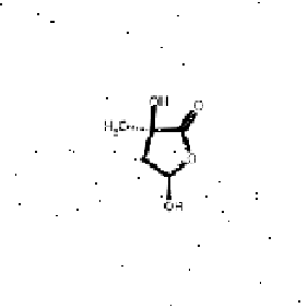 C[C@@]1(O)C[C@H](O)OC1=O